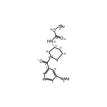 CNc1cncc(C(=O)N2CCC[C@@H](NC(=O)OC(C)(C)C)C2)c1